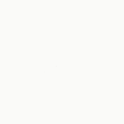 CCOC(=O)C(Cc1ccccc1Cl)(C(=O)OCC)c1cccs1